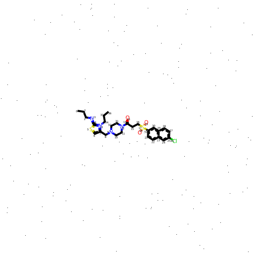 CCC/N=c1\scc(CN2CCN(C(=O)CCS(=O)(=O)c3ccc4cc(Cl)ccc4c3)CC2)n1CCC